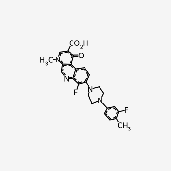 Cc1ccc(N2CCN(c3ccc4c(ncc5c4c(=O)c(C(=O)O)cn5C)c3F)CC2)cc1F